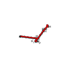 CC(C)(C)OC(=O)CC[C@@H](NC(=O)CCOCCOCCOCCOCCOCCOCCOCCOCCN=[N+]=[N-])C(=O)NCCOCCOCCOCCOCCNC(=O)CCCNC(=O)CCCc1c[nH]c2ccccc12